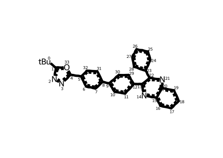 CC(C)(C)c1nnc(-c2ccc(-c3ccc(-c4nc5ccccc5nc4-c4ccccc4)cc3)cc2)o1